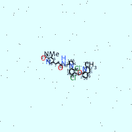 CNC(=O)c1ccc(C=CC(=O)NCc2cccn2-c2ccc(Cl)c(COc3cccc4ccc(C)nc34)c2Cl)cn1